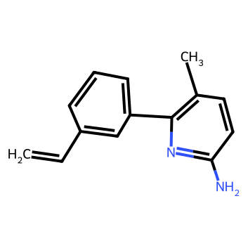 C=Cc1cccc(-c2nc(N)ccc2C)c1